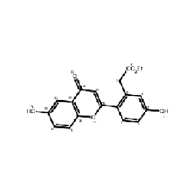 CCOC(=O)Cc1cc(O)ccc1-c1cc(=O)c2cc(O)ccc2o1